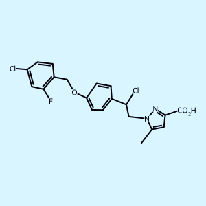 Cc1cc(C(=O)O)nn1CC(Cl)c1ccc(OCc2ccc(Cl)cc2F)cc1